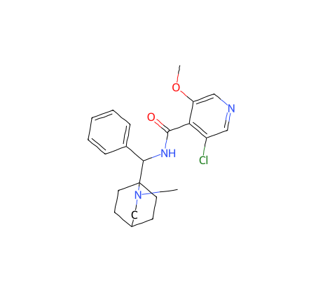 COc1cncc(Cl)c1C(=O)NC(c1ccccc1)C12CCC(CC1)CN2C